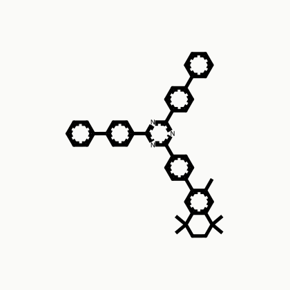 Cc1cc2c(cc1-c1ccc(-c3nc(-c4ccc(-c5ccccc5)cc4)nc(-c4ccc(-c5ccccc5)cc4)n3)cc1)C(C)(C)CCC2(C)C